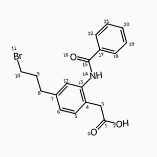 O=C(O)Cc1ccc(CCCBr)cc1NC(=O)c1ccccc1